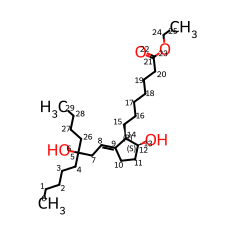 CCCCCC(O)(CC=C1CC[C@H](O)[C@@H]1CCCCCCC(=O)OCC)CCCC